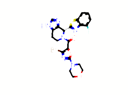 O=C(c1oc(N2CCOCC2)nc1Br)N1CCc2[nH]cnc2[C@H]1c1nc2c(F)cccc2s1